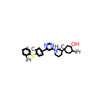 CC(C)c1ccccc1Sc1ccc(-c2cc(N3CCCC(C4(C)CCC(C(C)C)C(O)C4)C3)ncn2)cc1C(F)(F)F